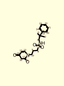 CC(C)(CNS(=O)(=O)CCCN1C=CC(=O)CC1=O)c1ccccc1